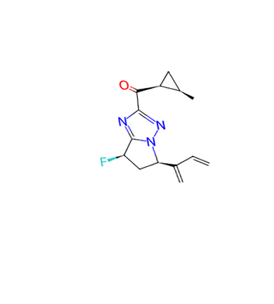 C=CC(=C)[C@H]1C[C@@H](F)c2nc(C(=O)[C@H]3C[C@H]3C)nn21